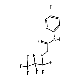 O=C(CSC(F)(F)C(F)(F)C(F)(F)F)Nc1ccc(F)cc1